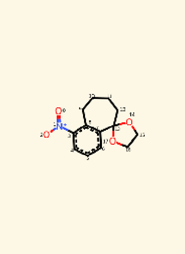 O=[N+]([O-])c1cccc2c1CCCCC21OCCO1